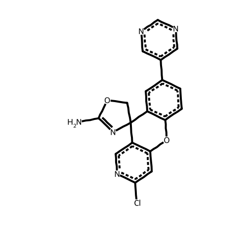 NC1=NC2(CO1)c1cnc(Cl)cc1Oc1ccc(-c3cncnc3)cc12